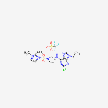 CCn1cnc2c(N[C@H]3CCN(S(=O)(=O)n4cc[n+](C)c4C)C3)nc(Cl)nc21.O=S(=O)([O-])C(F)(F)F